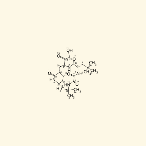 CC(C)(C)C[C@H](NC(=O)C(=O)NC(C)(C)C)C(=O)N[C@@H](C[C@@H]1CCCNC1=O)C(=O)CO